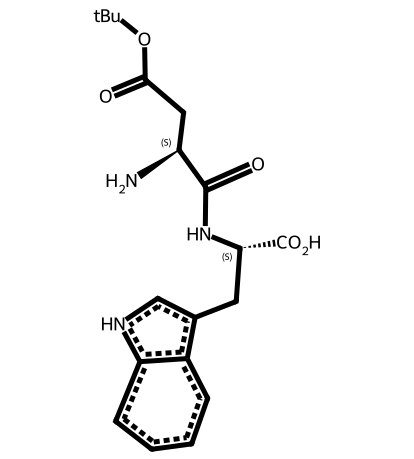 CC(C)(C)OC(=O)C[C@H](N)C(=O)N[C@@H](Cc1c[nH]c2ccccc12)C(=O)O